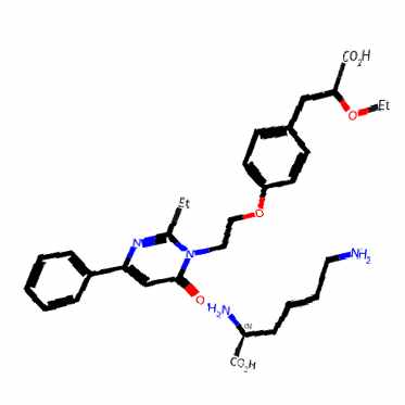 CCOC(Cc1ccc(OCCn2c(CC)nc(-c3ccccc3)cc2=O)cc1)C(=O)O.NCCCC[C@H](N)C(=O)O